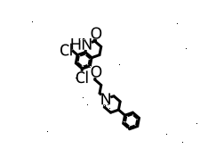 O=C1CCc2c(c(Cl)cc(Cl)c2OCCCN2CCC(c3ccccc3)CC2)N1